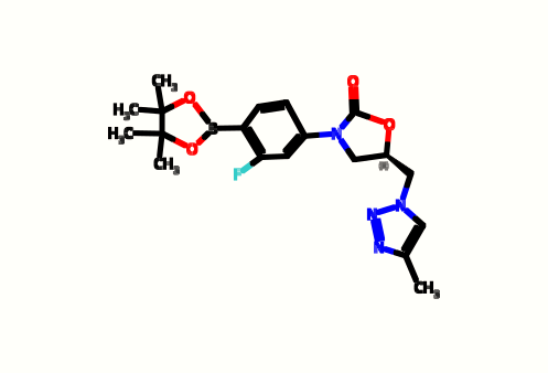 Cc1cn(C[C@H]2CN(c3ccc(B4OC(C)(C)C(C)(C)O4)c(F)c3)C(=O)O2)nn1